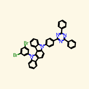 Brc1cc(Br)cc(-n2c3ccccc3c3ccc4c(c5ccccc5n4-c4ccc(-c5nc(-c6ccccc6)nc(-c6ccccc6)n5)cc4)c32)c1